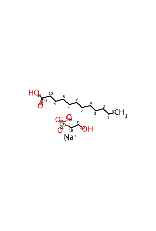 CCCCCCCCCCCC(=O)O.O=S(=O)([O-])CCO.[Na+]